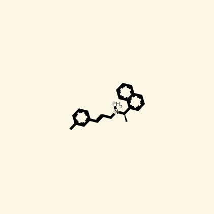 Cc1cccc(/C=C/CN(P)[C@H](C)c2cccc3ccccc23)c1